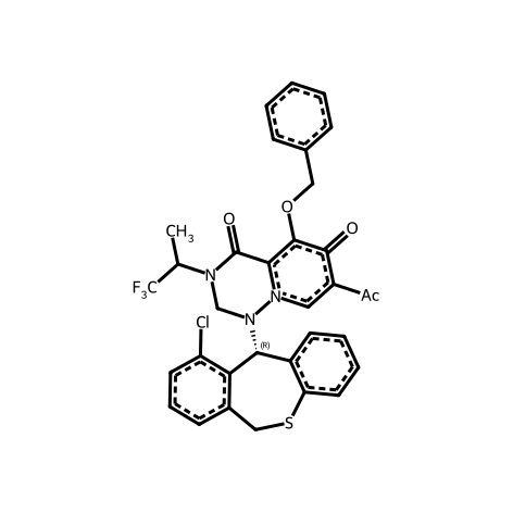 CC(=O)c1cn2c(c(OCc3ccccc3)c1=O)C(=O)N(C(C)C(F)(F)F)CN2[C@@H]1c2ccccc2SCc2cccc(Cl)c21